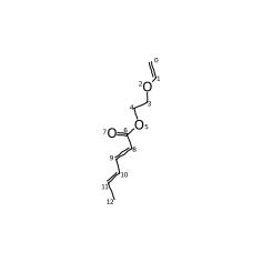 C=COCCOC(=O)/C=C/C=C/C